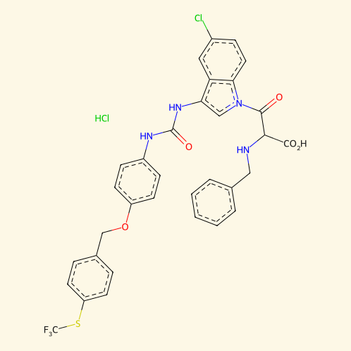 Cl.O=C(Nc1ccc(OCc2ccc(SC(F)(F)F)cc2)cc1)Nc1cn(C(=O)C(NCc2ccccc2)C(=O)O)c2ccc(Cl)cc12